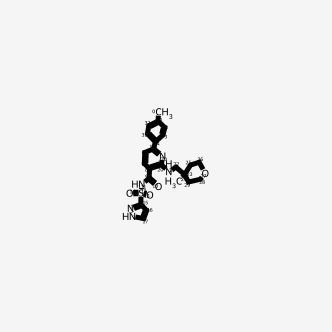 Cc1ccc(-c2ccc(C(=O)NS(=O)(=O)c3cc[nH]n3)c(NCC3(C)CCOCC3)n2)cc1